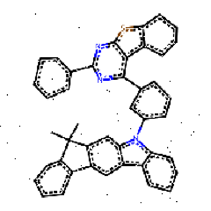 CC1(C)c2ccccc2-c2cc3c4ccccc4n(-c4cccc(-c5nc(-c6ccccc6)nc6sc7ccccc7c56)c4)c3cc21